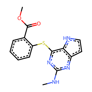 CNc1nc(Sc2ccccc2C(=O)OC)c2[nH]ccc2n1